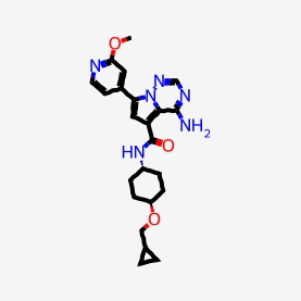 COc1cc(-c2cc(C(=O)N[C@H]3CC[C@H](OCC4CC4)CC3)c3c(N)ncnn23)ccn1